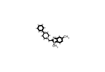 Cc1ccc2c(c1)nc(CN1CCC(c3ccccc3)CC1)n2C